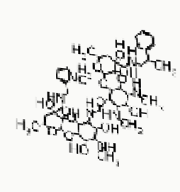 CN[C@@H]1[C@H](O)[C@H](NCO[C@@H]2C3OC4O[C@H](C)C[C@@](O)(CNCC(C)c5ccccc5)[C@]4(O)OC3[C@@H](NC)[C@@H](O)[C@H]2NC)C2O[C@]3(O)C(OC2[C@H]1O)O[C@H](C)C[C@@]3(O)CNCc1cccn1C